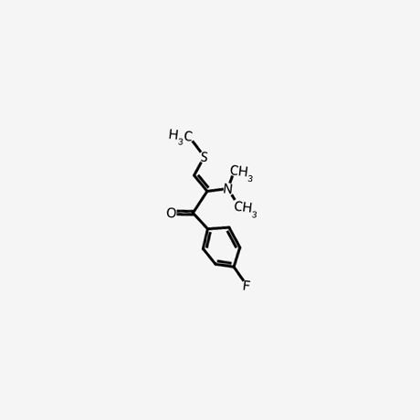 CS/C=C(/C(=O)c1ccc(F)cc1)N(C)C